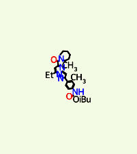 CCc1cc(C(=O)N2CCCCCC2C)nc2cc(-c3ccc(NC(=O)OCC(C)C)cc3C)nn12